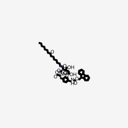 CCCCCCCC(=O)CCCCCC/C=C/[C@H](C(=O)N[C@@H](Cc1ccc(CNC(=O)OCC2c3ccccc3-c3ccccc32)cc1)C(=O)O)[C@@](O)(CC(=O)O)C(=O)O